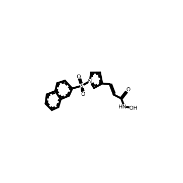 O=C(C=Cc1ccn(S(=O)(=O)c2ccc3ccccc3c2)c1)NO